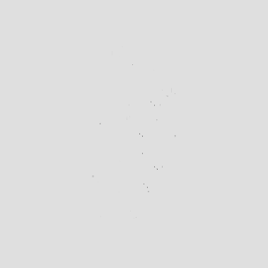 CC(=O)OC1C(=O)N(c2nnc(S(C)(=O)=O)s2)C(=O)N1C